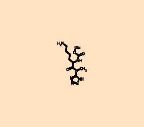 CN(C(=O)C(CCCCN)NC(=O)OC(C)(C)C)c1nnn[nH]1